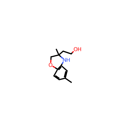 Cc1ccc2c(c1)NC(C)(CCO)CO2